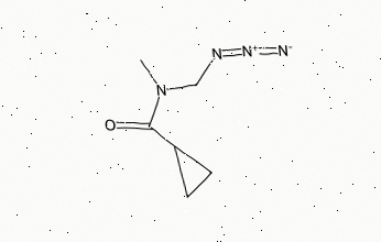 CN(CN=[N+]=[N-])C(=O)C1CC1